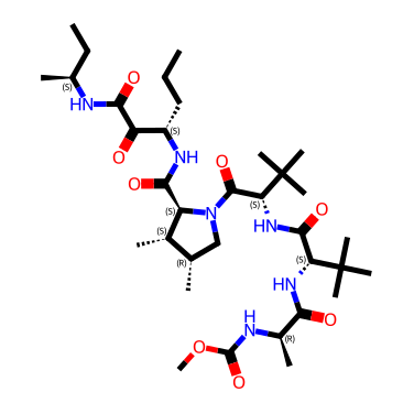 CCC[C@H](NC(=O)[C@@H]1[C@@H](C)[C@@H](C)CN1C(=O)[C@@H](NC(=O)[C@@H](NC(=O)[C@@H](C)NC(=O)OC)C(C)(C)C)C(C)(C)C)C(=O)C(=O)N[C@@H](C)CC